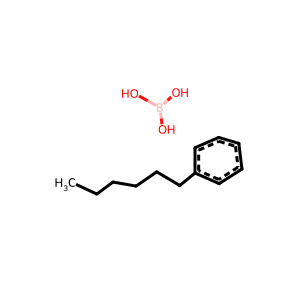 CCCCCCc1ccccc1.OB(O)O